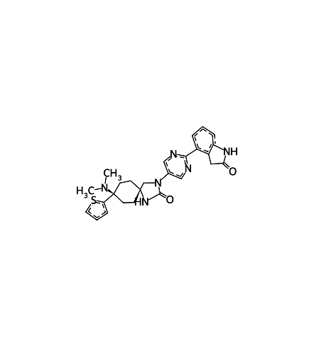 CN(C)[C@]1(c2cccs2)CC[C@@]2(CC1)CN(c1cnc(-c3cccc4c3CC(=O)N4)nc1)C(=O)N2